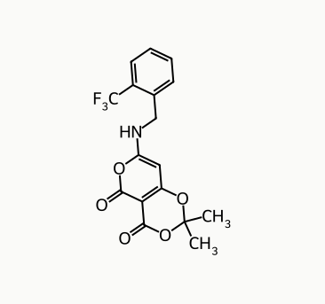 CC1(C)OC(=O)c2c(cc(NCc3ccccc3C(F)(F)F)oc2=O)O1